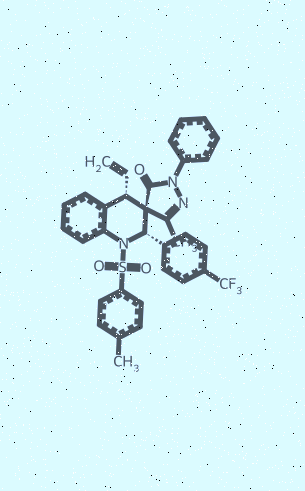 C=C[C@H]1c2ccccc2N(S(=O)(=O)c2ccc(C)cc2)[C@@H](c2ccc(C(F)(F)F)cc2)[C@]12C(=O)N(c1ccccc1)N=C2C